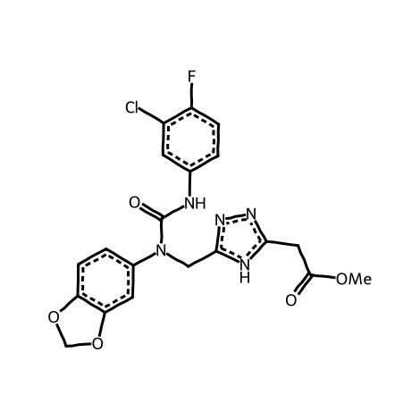 COC(=O)Cc1nnc(CN(C(=O)Nc2ccc(F)c(Cl)c2)c2ccc3c(c2)OCO3)[nH]1